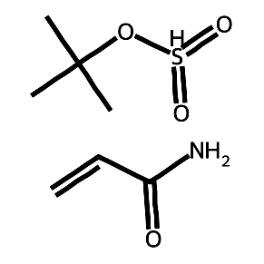 C=CC(N)=O.CC(C)(C)O[SH](=O)=O